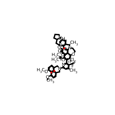 COc1ccc(CN(Cc2ccc(OC)cc2)c2cc(C)c(C(F)(F)F)c(-c3c(Cl)c4c5c(nc(OCCC6CCCN6C)nc5c3F)N([C@H](C)c3cccnc3NC(=O)OC(C)(C)C)CCO4)n2)cc1